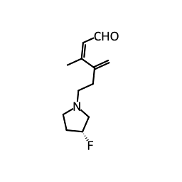 C=C(CCN1CC[C@@H](F)C1)/C(C)=C\C=O